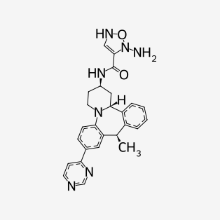 C[C@@H]1c2ccccc2[C@H]2C[C@H](NC(=O)C3=CNON3N)CCN2c2ccc(-c3ccncn3)cc21